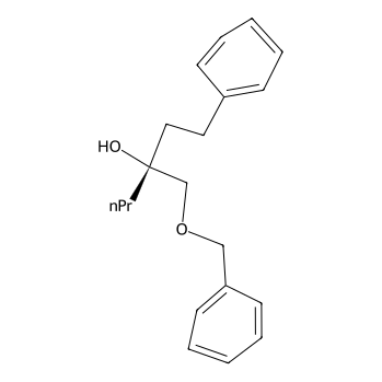 CCC[C@@](O)(CCc1ccccc1)COCc1ccccc1